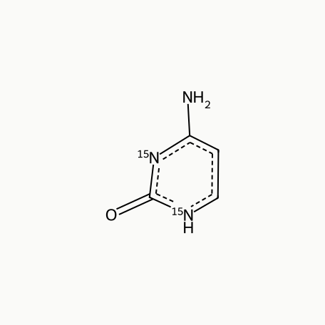 Nc1cc[15nH]c(=O)[15n]1